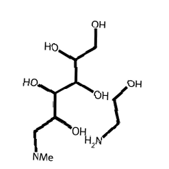 CNCC(O)C(O)C(O)C(O)CO.NCCO